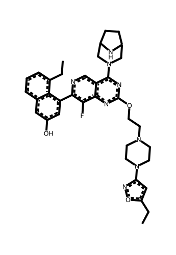 CCc1cc(N2CCN(CCOc3nc(N4CC5CCC(C4)N5)c4cnc(-c5cc(O)cc6cccc(CC)c56)c(F)c4n3)CC2)no1